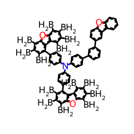 Bc1c(B)c(B)c2c(oc3c(B)c(B)c(B)c(-c4ccc(N(c5ccc(-c6cccc(-c7ccc8oc9ccccc9c8c7)c6)cc5)c5ccc(-c6c(B)c(B)c(B)c7oc8c(B)c(B)c(B)c(B)c8c67)cc5)cc4)c32)c1B